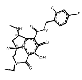 CCN1C[C@@H]2C[C@@H](NC)c3c(C(=O)NCc4ccc(F)cc4F)c(=O)c(O)c(n32)C1=O